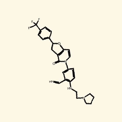 N=Cc1cc(-n2ccc3c(c2=O)CC(c2ccc(C(F)(F)F)cc2)O3)ccc1NCCN1CCCC1